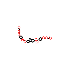 CC1(C)c2cc(OCOc3ccc(OCOCC4CO4)cc3)ccc2-c2ccc(OC(=O)c3ccc(OCOCC4CO4)cc3)cc21